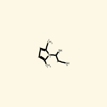 Cc1ccc(C)n1C(S)CS